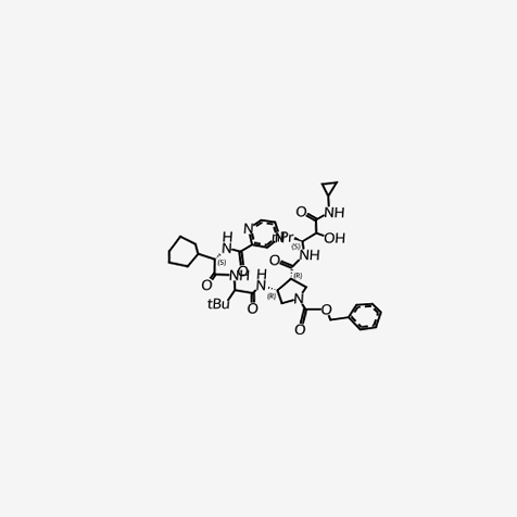 CCC[C@H](NC(=O)[C@@H]1CN(C(=O)OCc2ccccc2)C[C@@H]1NC(=O)C(NC(=O)[C@@H](NC(=O)c1cnccn1)C1CCCCC1)C(C)(C)C)C(O)C(=O)NC1CC1